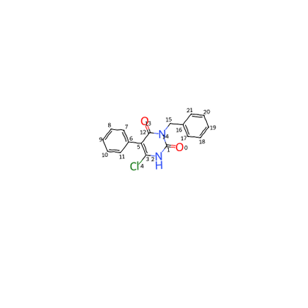 O=c1[nH]c(Cl)c(-c2ccccc2)c(=O)n1Cc1ccccc1